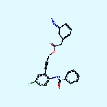 [N-]=[N+]=C1C=CC=C(CC(=O)OCC#Cc2cc(Cl)ccc2NC(=O)c2ccccc2)C1